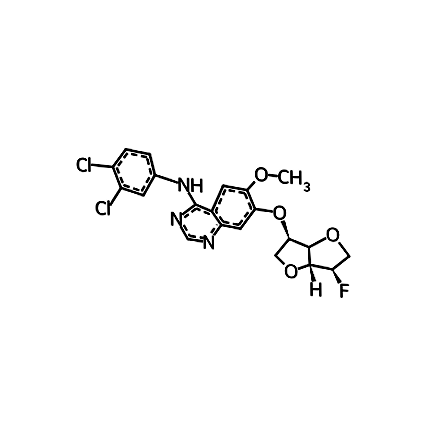 COc1cc2c(Nc3ccc(Cl)c(Cl)c3)ncnc2cc1O[C@@H]1CO[C@@H]2C1OC[C@H]2F